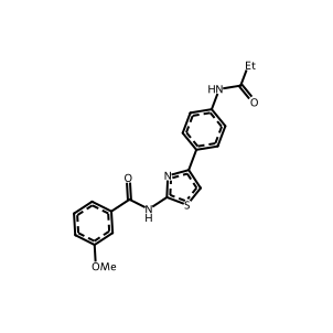 CCC(=O)Nc1ccc(-c2csc(NC(=O)c3cccc(OC)c3)n2)cc1